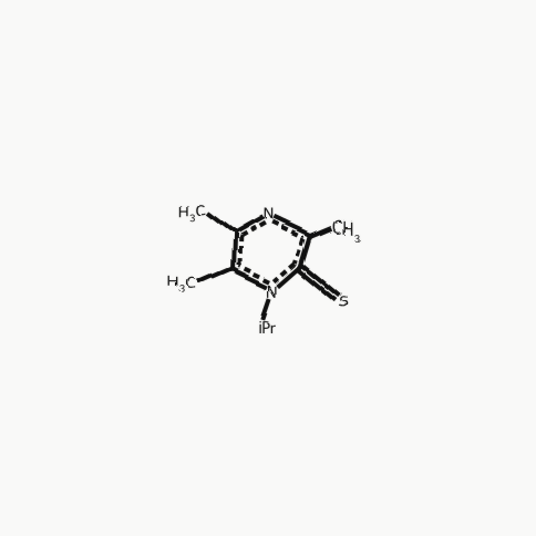 Cc1nc(C)c(=S)n(C(C)C)c1C